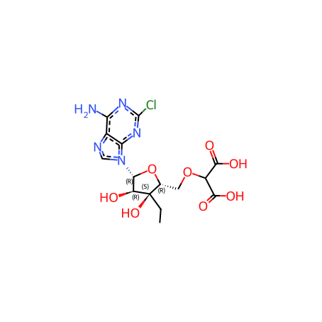 CC[C@@]1(O)[C@@H](COC(C(=O)O)C(=O)O)O[C@@H](n2cnc3c(N)nc(Cl)nc32)[C@@H]1O